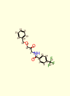 O=C(CNC(=O)c1ccc(C(F)(F)F)cc1)COCc1ccccc1